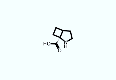 O=C(O)[C@]12CCC1CCN2